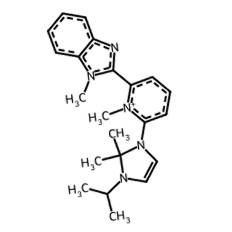 CC(C)N1C=CN(c2cccc(-c3nc4ccccc4n3C)[n+]2C)C1(C)C